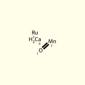 [CaH2].[O]=[Mn].[Ru]